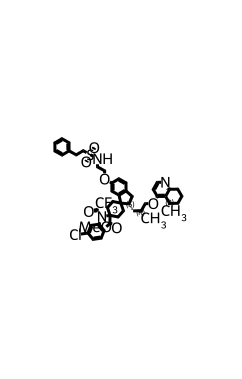 COC(=O)C1(N(C(=O)C(F)(F)F)c2cccc(Cl)c2)CCC2(CC1)c1cc(OCCNS(=O)(=O)CCc3ccccc3)ccc1C[C@@H]2C[C@@H](C)COc1ccnc2c1[C@H](C)CCC2